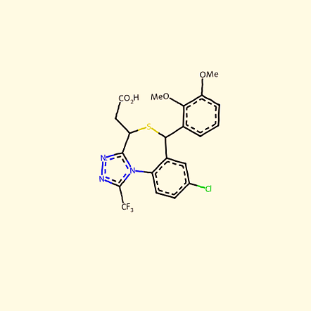 COc1cccc(C2SC(CC(=O)O)c3nnc(C(F)(F)F)n3-c3ccc(Cl)cc32)c1OC